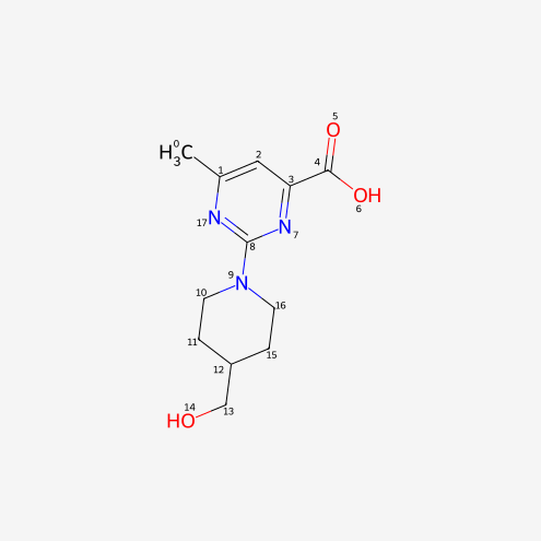 Cc1cc(C(=O)O)nc(N2CCC(CO)CC2)n1